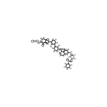 Cc1c(Nc2nccc3cc(CN4CC[C@@H](OC(=O)c5ccccc5)C4)cnc23)cccc1-c1cccc(-c2nc3c(=O)n(CC=O)ccc3o2)c1C